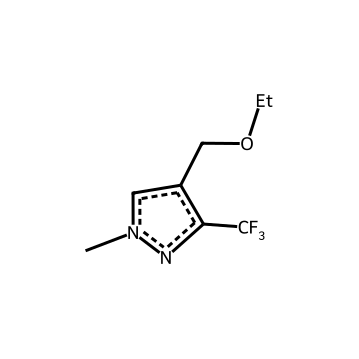 CCOCc1cn(C)nc1C(F)(F)F